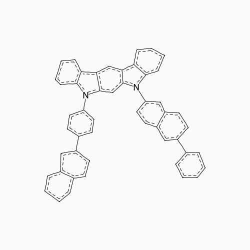 c1ccc(-c2ccc3cc(-n4c5ccccc5c5cc6c7ccccc7n(-c7ccc(-c8ccc9ccccc9c8)cc7)c6cc54)ccc3c2)cc1